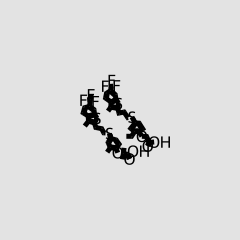 CCc1cc(SCCCc2sc3cc(C(F)(F)F)ccc3c2C)ccc1OCC(=O)O.Cc1cc(SCCCc2sc3cc(C(F)(F)F)ccc3c2C)ccc1OC(C)(C)C(=O)O